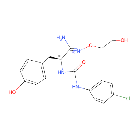 N/C(=N\OCCO)[C@H](Cc1ccc(O)cc1)NC(=O)Nc1ccc(Cl)cc1